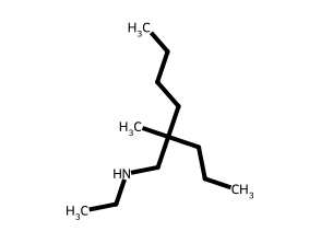 CCCCC(C)(CCC)CNCC